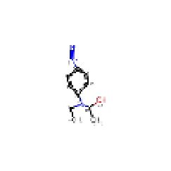 CCN(c1ccc([N+]#N)cc1)C(C)O